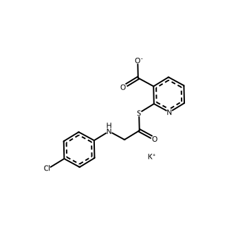 O=C(CNc1ccc(Cl)cc1)Sc1ncccc1C(=O)[O-].[K+]